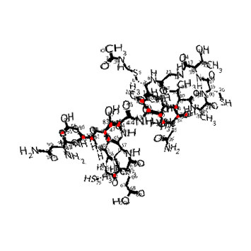 CC(=O)NCSC[C@H](NC(=O)CNC(=O)[C@@H](NC(=O)[C@H](CS)NC(=O)[C@H](C)NC(=O)[C@@H](NC(=O)[C@H](CC(N)=O)NC(=O)[C@@H](NC(=O)[C@H](CSCNC(C)=O)NC(=O)[C@H](CC(C)C)NC(=O)[C@H](CCC(=O)O)NC(=O)[C@H](CS)NC(=O)[C@H](CCC(=O)O)NC(=O)[C@H](CC(=O)O)NC(=O)[C@@H](N)CC(N)=O)C(C)C)C(C)C)[C@@H](C)O)C(=O)N[C@@H](CC(C)C)C(=O)O